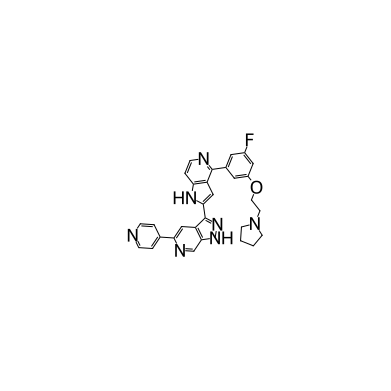 Fc1cc(OCCN2CCCC2)cc(-c2nccc3[nH]c(-c4n[nH]c5cnc(-c6ccncc6)cc45)cc23)c1